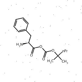 CCCC(C)(C)OC(=O)OC(=O)[C@@H](N)Cc1ccccc1